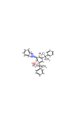 CC(C)(c1ccccc1)c1cc(-n2n3c4ccccc4n23)c(O)c(C(C)(C)c2ccccc2)c1